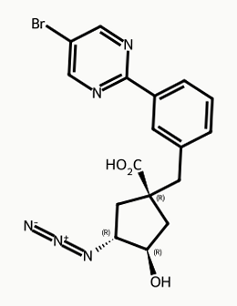 [N-]=[N+]=N[C@@H]1C[C@@](Cc2cccc(-c3ncc(Br)cn3)c2)(C(=O)O)C[C@H]1O